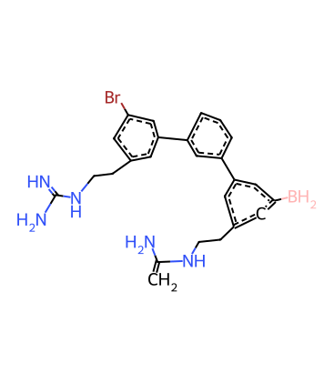 Bc1cc(CCNC(=C)N)cc(-c2cccc(-c3cc(Br)cc(CCNC(=N)N)c3)c2)c1